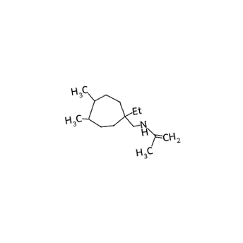 C=C(C)NCC1(CC)CCC(C)C(C)CC1